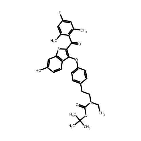 CCN(CCc1ccc(Oc2c(C(=O)c3c(C)cc(F)cc3C)sc3cc(O)ccc23)cc1)C(=O)OC(C)(C)C